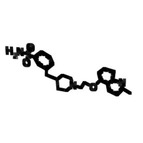 Cc1ccc2c(OCCN3CCC(Cc4cccc(S(N)(=O)=O)c4)CC3)cccc2n1